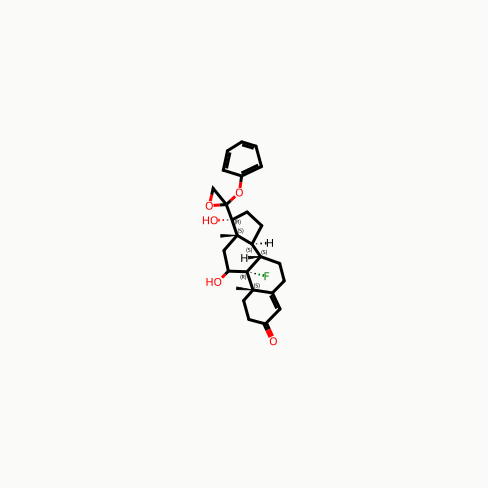 C[C@]12CCC(=O)C=C1CC[C@H]1[C@@H]3CC[C@](O)(C4(Oc5ccccc5)CO4)[C@@]3(C)CC(O)[C@@]12F